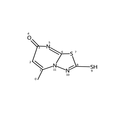 Cc1cc(=O)nc2sc(S)nn12